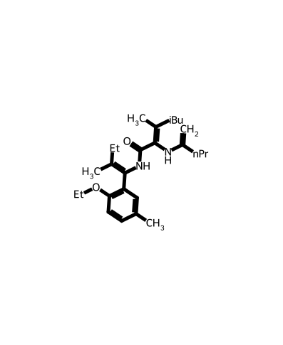 C=C(CCC)N/C(C(=O)N/C(=C(/C)CC)c1cc(C)ccc1OCC)=C(/C)C(C)CC